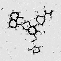 C=C(F)C(=O)N1[C@H](C)CN(c2c(C#N)c(OC[C@@H]3CCCN3C)nc3c2CCN(c2cccc4cccc(C)c24)C3)C[C@@H]1C